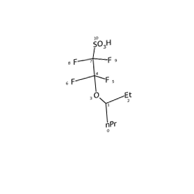 CCCC(CC)OC(F)(F)C(F)(F)S(=O)(=O)O